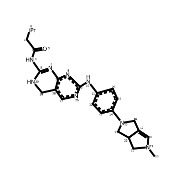 CC(C)CC(=O)NC1=Nc2nc(Nc3ccc(N4CC5=CN(C)CC5C4)cc3)ncc2CN1